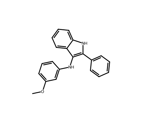 COc1cccc(Nc2c(-c3ccccc3)[nH]c3ccccc23)c1